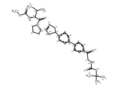 COC(=O)N[C@H](C(=O)N1CCC[C@H]1C1=NCC(c2ccc(-c3ccc(C(=O)CNC(=O)OC(C)(C)C)cc3)cc2)N1)C(C)C